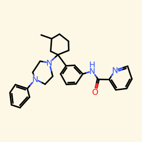 CC1CCCC(c2cccc(NC(=O)c3ccccn3)c2)(N2CCN(c3ccccc3)CC2)C1